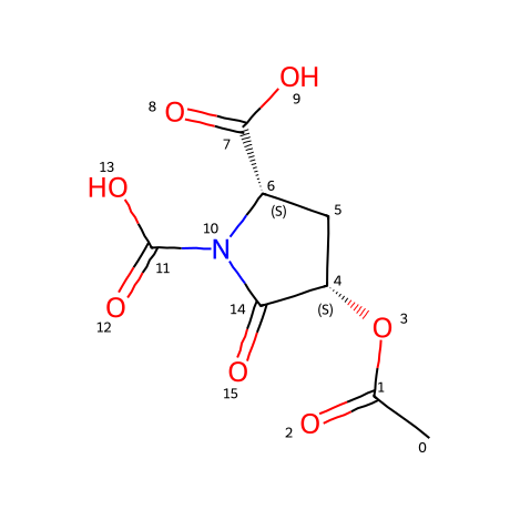 CC(=O)O[C@H]1C[C@@H](C(=O)O)N(C(=O)O)C1=O